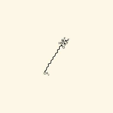 C=CCCCCCCCCCCCCCCC(=O)NS(=O)(=O)C(F)(F)F